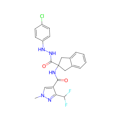 Cn1cc(C(=O)NC2(C(=O)NNc3ccc(Cl)cc3)Cc3ccccc3C2)c(C(F)F)n1